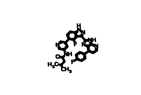 CC(C)CC(=O)Nc1cncc(-c2ccc3[nH]nc(-c4nc5c(-c6ccc(F)cc6)ccnc5[nH]4)c3c2F)c1